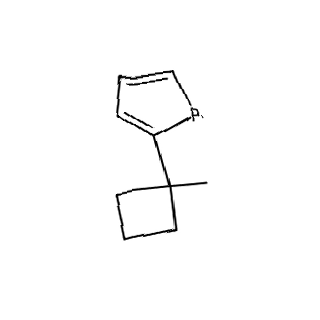 CC1(C2=CC=C[P]2)CCC1